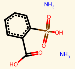 N.N.O=C(O)c1ccccc1S(=O)(=O)O